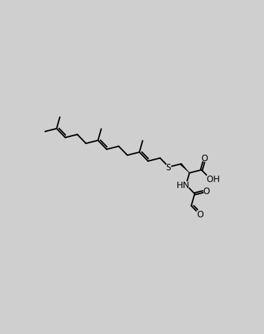 CC(C)=CCC/C(C)=C/CC/C(C)=C/CSC[C@H](NC(=O)C=O)C(=O)O